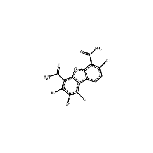 CCc1ccc2c(oc3c(C(N)=O)c(CC)c(CC)c(CC)c32)c1C(N)=O